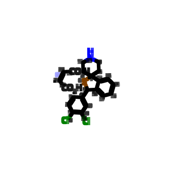 Clc1ccc(C2SC3(CCNCC3)c3ccccc32)cc1Cl.O=C(O)/C=C\C(=O)O